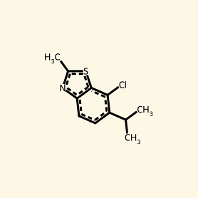 Cc1nc2ccc(C(C)C)c(Cl)c2s1